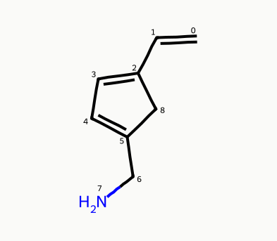 C=CC1=CC=C(CN)C1